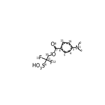 CN(C)c1ccc(C(=O)OCC(F)(F)S(=O)(=O)O)cc1